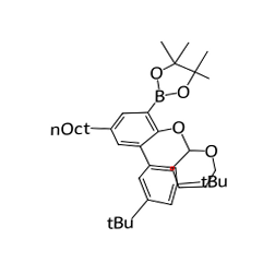 CCCCCCCCc1cc(B2OC(C)(C)C(C)(C)O2)c(OC2CCCCO2)c(-c2cc(C(C)(C)C)cc(C(C)(C)C)c2)c1